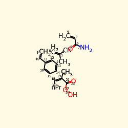 C=C(C)C#N.C=CC(N)=O.C=Cc1ccccc1.CCCC=C(C)C(=O)OO